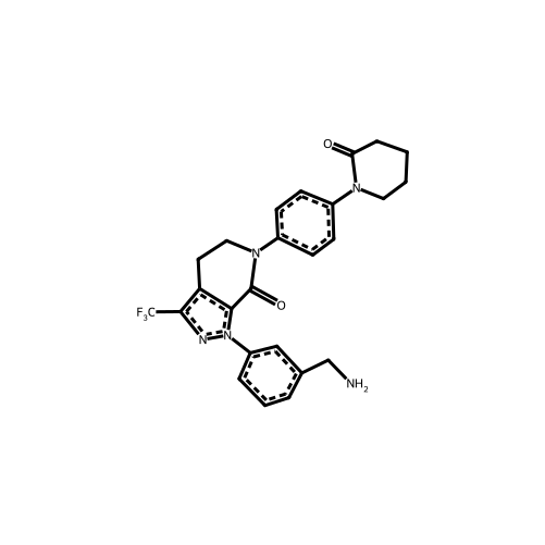 NCc1cccc(-n2nc(C(F)(F)F)c3c2C(=O)N(c2ccc(N4CCCCC4=O)cc2)CC3)c1